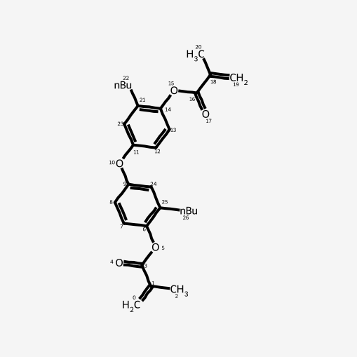 C=C(C)C(=O)Oc1ccc(Oc2ccc(OC(=O)C(=C)C)c(CCCC)c2)cc1CCCC